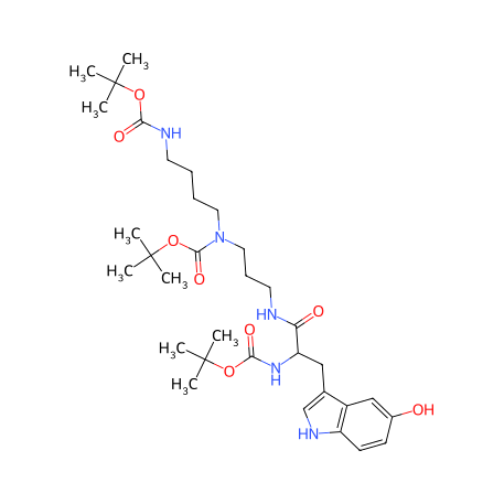 CC(C)(C)OC(=O)NCCCCN(CCCNC(=O)C(Cc1c[nH]c2ccc(O)cc12)NC(=O)OC(C)(C)C)C(=O)OC(C)(C)C